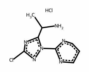 CC(N)c1nc(Cl)nn1-c1ncccn1.Cl